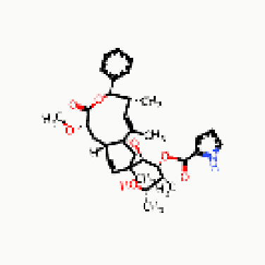 CO[C@H]1C[C@H]2C=C[C@]3(C)C[C@]2(O[C@H]3[C@H](OC(=O)c2ccc[nH]2)[C@H](C)[C@H](C)O)/C(C)=C/[C@@H](C)[C@H](c2ccccc2)OC1=O